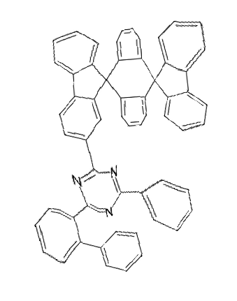 c1ccc(-c2nc(-c3ccc4c(c3)C3(c5ccccc5-4)c4ccccc4C4(c5ccccc5-c5ccccc54)c4ccccc43)nc(-c3ccccc3-c3ccccc3)n2)cc1